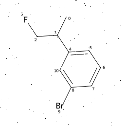 C[C](CF)c1cccc(Br)c1